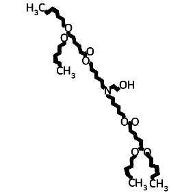 CC/C=C\CCCOC(CCCCC(=O)OCCCCCCN(CCO)CCCCCCOC(=O)CCCCC(OCCC/C=C\CC)OCCC/C=C\CC)OCCC/C=C\CC